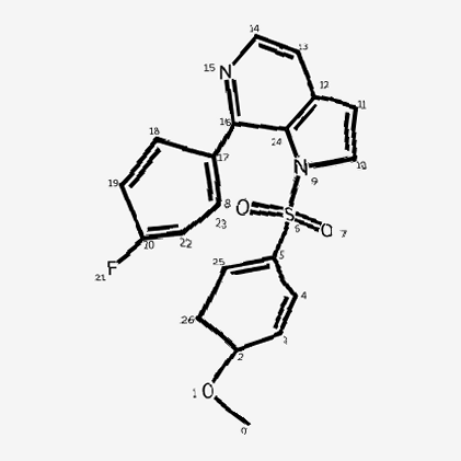 COC1C=CC(S(=O)(=O)n2ccc3ccnc(-c4ccc(F)cc4)c32)=CC1